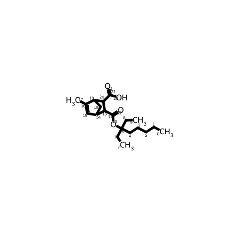 CCCCCC(CC)(CC)OC(=O)C1C2C=C(C)C(C2)C1C(=O)O